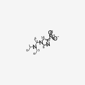 CCN(CC)C(C)n1cnc([N+](=O)[O-])c1